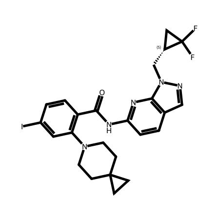 O=C(Nc1ccc2cnn(C[C@@H]3CC3(F)F)c2n1)c1ccc(I)cc1N1CCC2(CC1)CC2